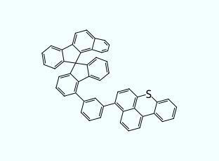 c1cc(-c2cccc3c2-c2ccccc2C32c3ccccc3-c3ccc4ccccc4c32)cc(-c2ccc3c4c(cccc24)-c2ccccc2S3)c1